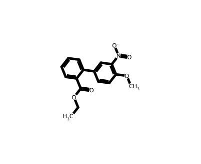 CCOC(=O)c1ccccc1-c1ccc(OC)c([N+](=O)[O-])c1